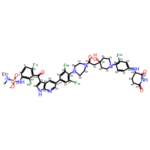 CCN(C)S(=O)(=O)Nc1ccc(F)c(C(=O)c2c[nH]c3ncc(-c4cc(F)c(N5CCN(C(=O)CC6(O)CCN(c7ccc(NC8CCC(=O)NC8=O)cc7F)CC6)CC5)c(F)c4)cc23)c1F